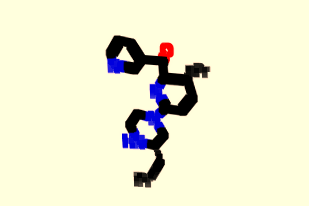 CCCc1ccc(N2CCN[C@@H](CC(C)C)C2)nc1C(=O)c1cccnc1